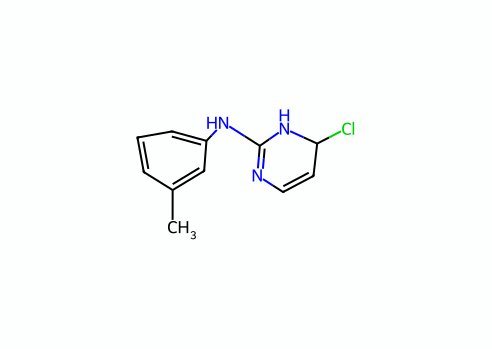 Cc1cccc(NC2=NC=CC(Cl)N2)c1